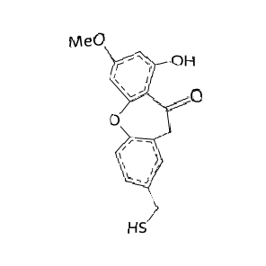 COc1cc(O)c2c(c1)Oc1ccc(CS)cc1CC2=O